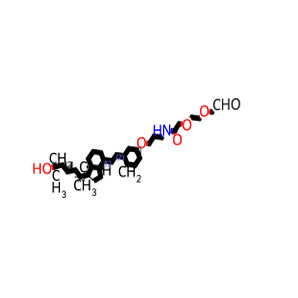 C=C1CC[C@H](OCCCNC(=O)COCCOCC=O)C/C1=C/C=C1\CCC[C@]2(C)[C@@H]([C@H](C)CCCC(C)(C)O)CC[C@@H]12